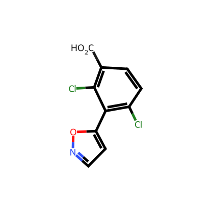 O=C(O)c1ccc(Cl)c(-c2ccno2)c1Cl